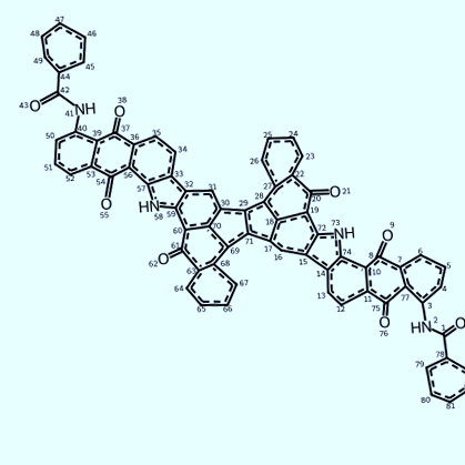 O=C(Nc1cccc2c(=O)c3c(ccc4c5cc6c7c(c(=O)c8ccccc8c7c7c8cc9c%10ccc%11c(=O)c%12c(NC(=O)c%13ccccc%13)cccc%12c(=O)c%11c%10[nH]c9c9c(=O)c%10ccccc%10c(c89)c67)c5[nH]c43)c(=O)c12)c1ccccc1